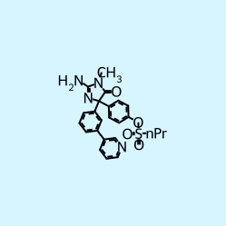 CCCS(=O)(=O)Oc1ccc(C2(c3cccc(-c4cccnc4)c3)N=C(N)N(C)C2=O)cc1